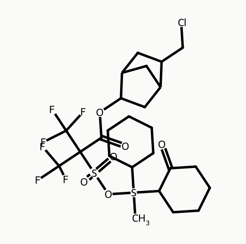 CS(OS(=O)(=O)C(C(=O)OC1CC2CC1CC2CCl)(C(F)(F)F)C(F)(F)F)(C1CCCCC1)C1CCCCC1=O